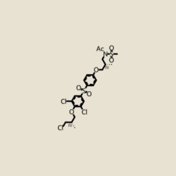 CC(=O)N(C[C@H](C)COc1ccc(S(=O)(=O)c2cc(Cl)c(OC[C@H](C)CCl)c(Cl)c2)cc1)S(C)(=O)=O